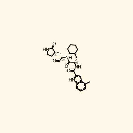 Cc1cccc2[nH]c(C(=O)N[C@@H](CC3CCCCC3)C(=O)N[C@H](C=O)C[C@@H]3CCNC3=O)cc12